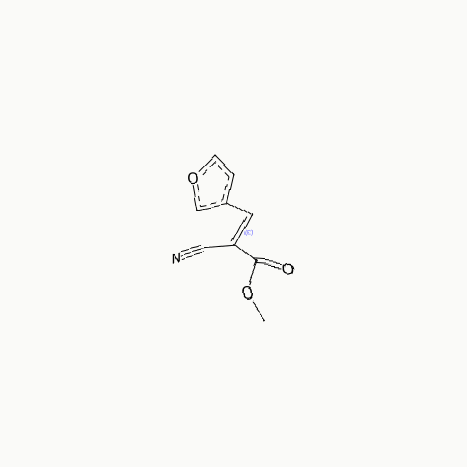 COC(=O)/C(C#N)=C/c1ccoc1